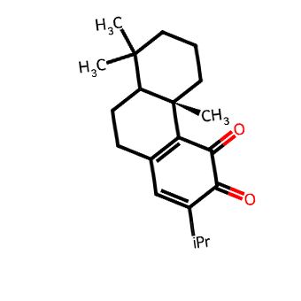 CC(C)C1=CC2=C(C(=O)C1=O)[C@@]1(C)CCCC(C)(C)C1CC2